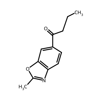 CCCC(=O)c1ccc2nc(C)oc2c1